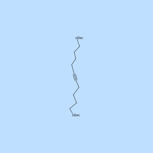 [CH2]CCCCCCCCCCCCCC#CCCCCCCCCCCCCC[CH2]